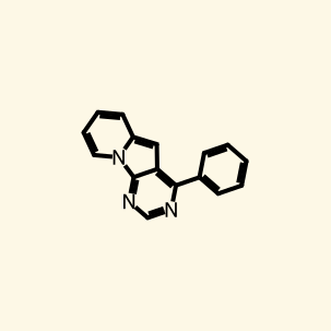 c1ccc(-c2ncnc3c2cc2ccccn23)cc1